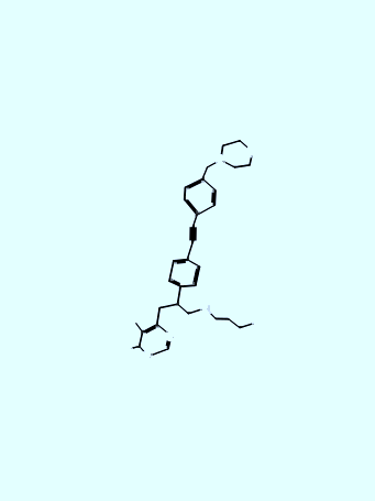 OC1=C(CC(CNCCCF)c2ccc(C#Cc3ccc(CN4CCOCC4)cc3)cc2)N=CNC1O